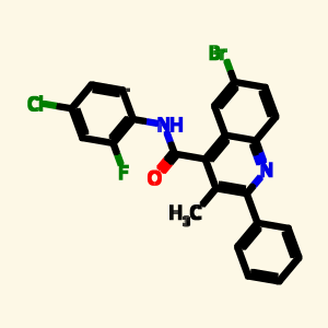 Cc1c(-c2ccccc2)nc2ccc(Br)cc2c1C(=O)Nc1[c]cc(Cl)cc1F